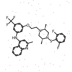 Cc1cc(Nc2cc(OCCN3C[C@H](C)N(Sc4c(F)cccc4F)C[C@@H]3C)cc(C(F)(F)F)c2)c2ccccc2n1